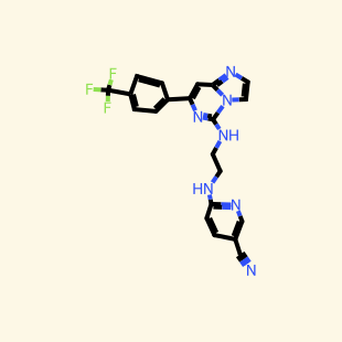 N#Cc1ccc(NCCNc2nc(-c3ccc(C(F)(F)F)cc3)cc3nccn23)nc1